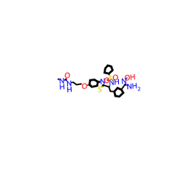 CNC(=O)NCCCOc1ccc2nc(C(Cc3cccc(C(N)=NO)c3)NS(=O)(=O)c3ccccc3)sc2c1